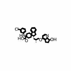 C[C@@H](COc1ccnc2c1CCC2O)C[C@H]1Cc2ccccc2C12CCC(Nc1cccc(Cl)c1)(C(=O)O)CC2